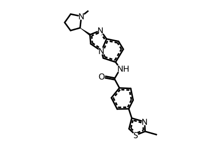 Cc1nc(-c2ccc(C(=O)Nc3ccc4nc([C@H]5CCCN5C)cn4c3)cc2)cs1